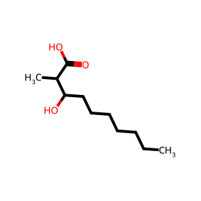 CCCCCCCC(O)C(C)C(=O)O